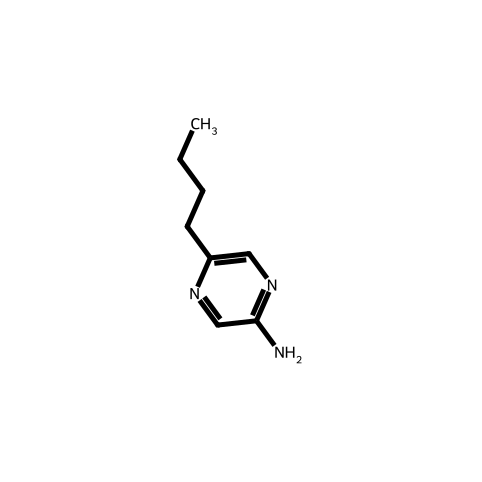 CCCCc1cnc(N)cn1